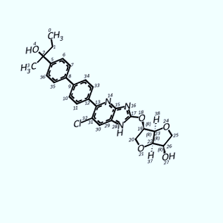 CCC(C)(O)c1ccc(-c2ccc(-c3nc4nc(O[C@@H]5CO[C@H]6[C@@H]5OC[C@H]6O)[nH]c4cc3Cl)cc2)cc1